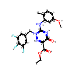 CCOC(=O)c1nn(Cc2cc(F)c(F)c(F)c2)c(Nc2cc(OC)ccc2C)nc1=O